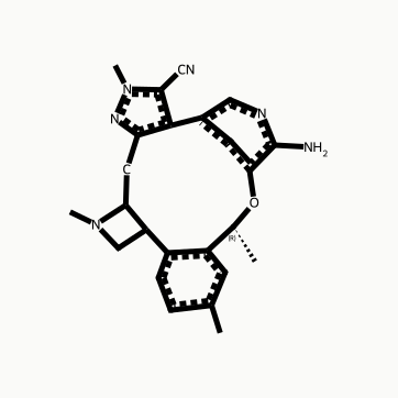 Cc1ccc2c(c1)[C@@H](C)Oc1cc(cnc1N)-c1c(nn(C)c1C#N)CC1C2CN1C